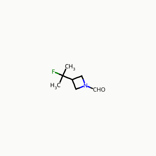 CC(C)(F)C1CN(C=O)C1